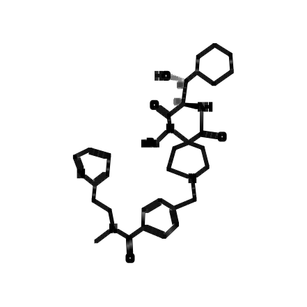 CCCCN1C(=O)[C@@H]([C@H](O)C2CCCCC2)NC(=O)C12CCN(Cc1ccc(C(=O)N(C)CCc3ccccn3)cc1)CC2